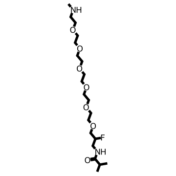 CNCCOCCOCCOCCOCCOCCOCC(F)CNC(=O)C(C)C